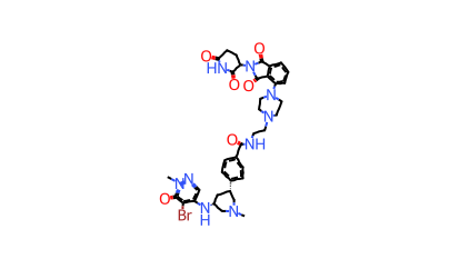 CN1C[C@H](Nc2cnn(C)c(=O)c2Br)C[C@H](c2ccc(C(=O)NCCN3CCN(c4cccc5c4C(=O)N(C4CCC(=O)NC4=O)C5=O)CC3)cc2)C1